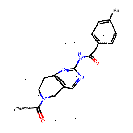 CCCCCC(=O)N1CCc2nc(NC(=O)c3ccc(C(C)(C)C)cc3)ncc2C1